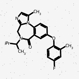 Cc1cc(F)ccc1Oc1ccc2c(c1)C(=O)N(C(C)C(C)C)Cc1ncc(C)n1-2